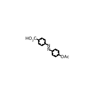 CC(=O)Oc1ccc(/N=N/c2ccc(C(=O)O)cc2)cc1